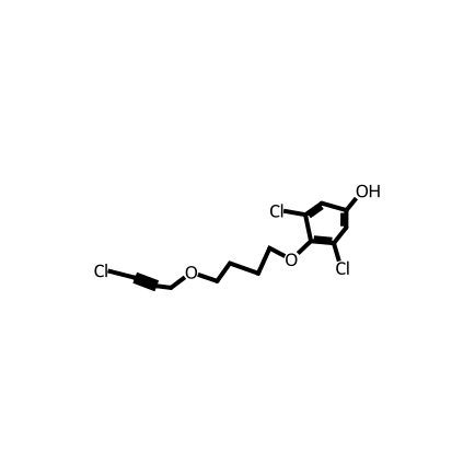 Oc1cc(Cl)c(OCCCCOCC#CCl)c(Cl)c1